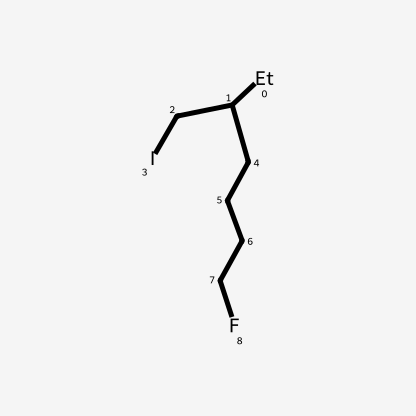 CCC(CI)CCCCF